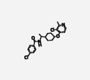 Cc1nccc(OC2CCC(C(C)NC(=O)c3ccc(Cl)cc3)CC2)c1Cl